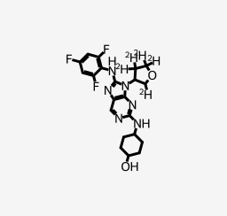 [2H]C1OC([2H])([2H])C([2H])([2H])C1n1c(Nc2c(F)cc(F)cc2F)nc2cnc(NC3CCC(O)CC3)nc21